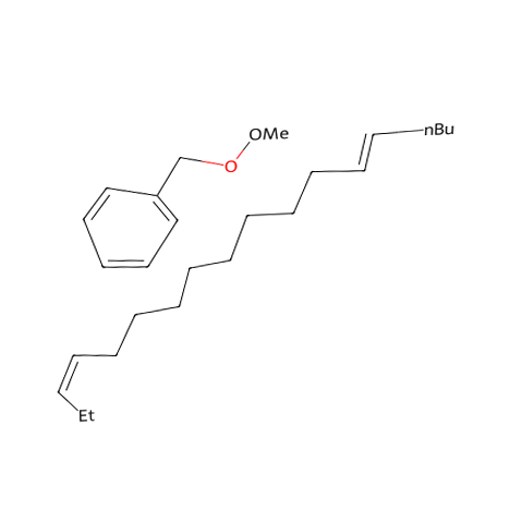 CC/C=C\CCCCCCCC/C=C/CCCC.COOCc1ccccc1